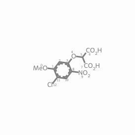 COc1cc(OC(C(=O)O)C(=O)O)c([N+](=O)[O-])cc1Cl